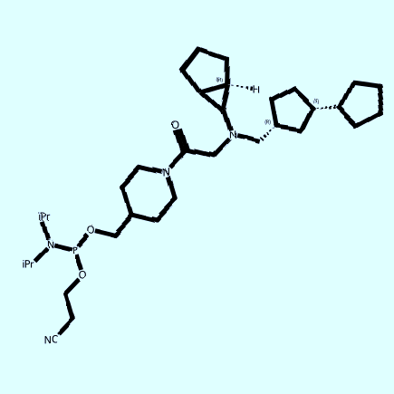 CC(C)N(C(C)C)P(OCCC#N)OCC1CCN(C(=O)CN(C[C@@H]2CC[C@H](C3CCCC3)C2)C2C3CCC[C@H]32)CC1